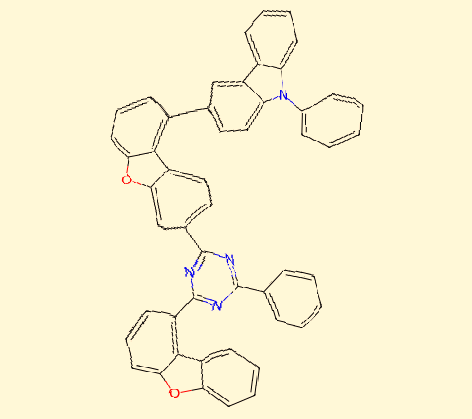 c1ccc(-c2nc(-c3ccc4c(c3)oc3cccc(-c5ccc6c(c5)c5ccccc5n6-c5ccccc5)c34)nc(-c3cccc4oc5ccccc5c34)n2)cc1